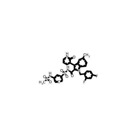 Cc1ccc2c(c1)c(-c1ccc[nH]c1=O)c(C(=O)NS(=O)(=O)c1cccc(NS(C)(=O)=O)c1)n2Cc1ccc(F)cc1F